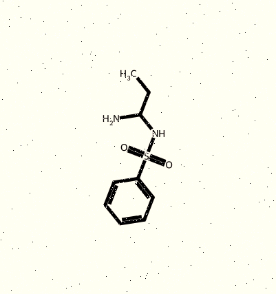 CCC(N)NS(=O)(=O)c1ccccc1